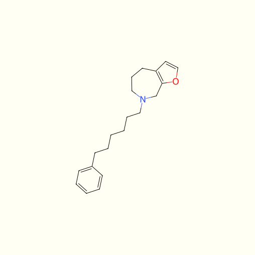 c1ccc(CCCCCCN2CCCc3ccoc3C2)cc1